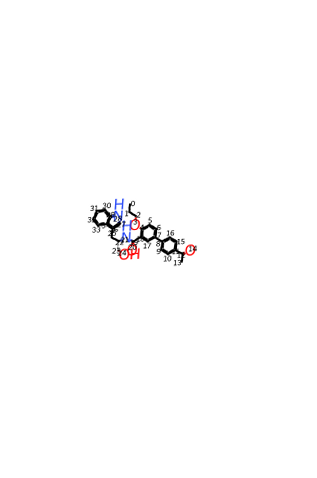 CCCOc1ccc(-c2ccc(C(C)=O)cc2)cc1C(=O)N[C@H](CO)Cc1c[nH]c2ccccc12